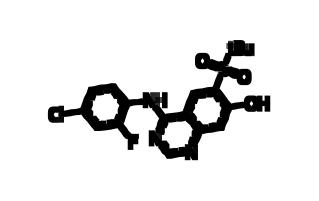 CC(C)(C)S(=O)(=O)c1cc2c(Nc3ccc(Cl)cc3F)ncnc2cc1O